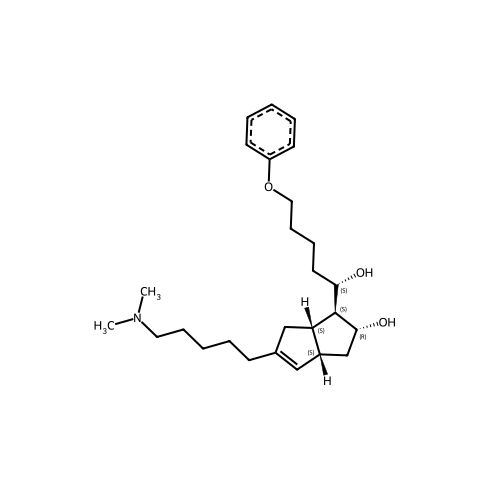 CN(C)CCCCCC1=C[C@H]2C[C@@H](O)[C@H]([C@@H](O)CCCCOc3ccccc3)[C@H]2C1